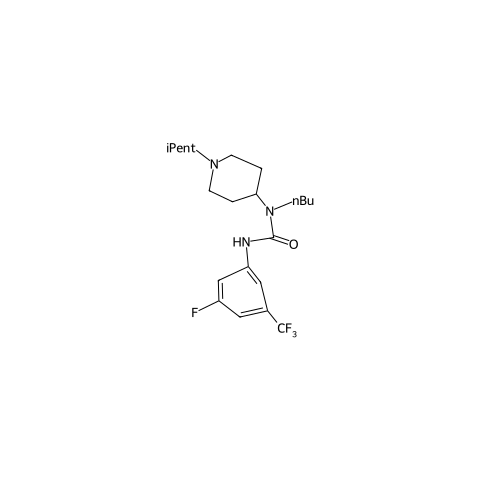 CCCCN(C(=O)Nc1cc(F)cc(C(F)(F)F)c1)C1CCN(C(C)CCC)CC1